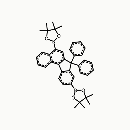 CC1(C)OB(c2ccc3c(c2)C(c2ccccc2)(c2ccccc2)c2cc(B4OC(C)(C)C(C)(C)O4)c4ccccc4c2-3)OC1(C)C